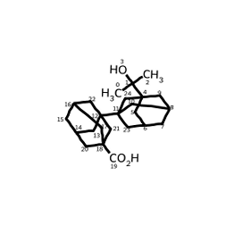 CC(C)(O)C12CC3CC(C1)CC(C14CC5CC(CC(C(=O)O)(C5)C1)C4)(C3)C2